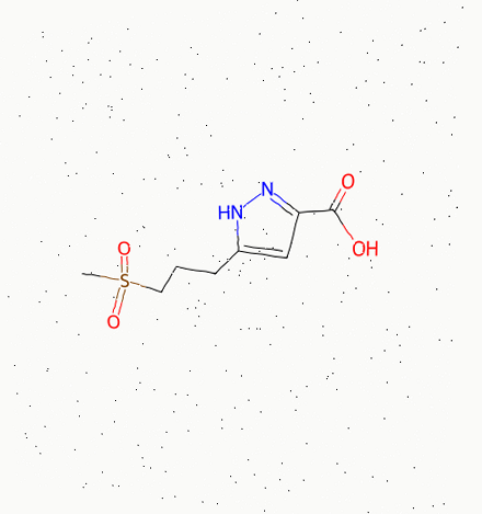 CS(=O)(=O)CCCc1cc(C(=O)O)n[nH]1